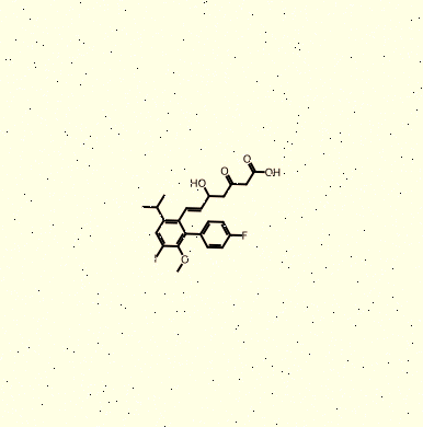 COc1c(I)cc(C(C)C)c(/C=C/C(O)CC(=O)CC(=O)O)c1-c1ccc(F)cc1